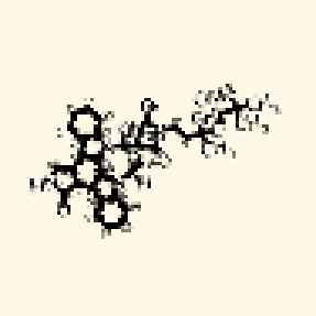 COC(C)(C)COC(C)(C)CCN1C(=O)O[C@@]2(C[C@H]3O[C@]2(C)n2c4ccccc4c4c5c(c6c7ccccc7n3c6c42)C(=O)NC5)C1=O